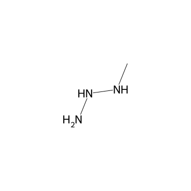 CNNN